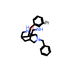 CC(C)CNC(=O)C12NCC3CC1CN(Cc1ccccc1)C2C3Cc1ccccc1